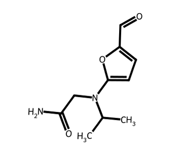 CC(C)N(CC(N)=O)c1ccc(C=O)o1